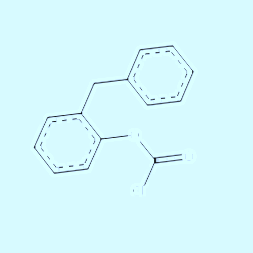 O=C(Cl)Oc1ccccc1Cc1ccccc1